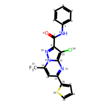 O=C(Nc1ccccc1)c1nn2c(C(F)(F)F)cc(-c3cccs3)nc2c1Cl